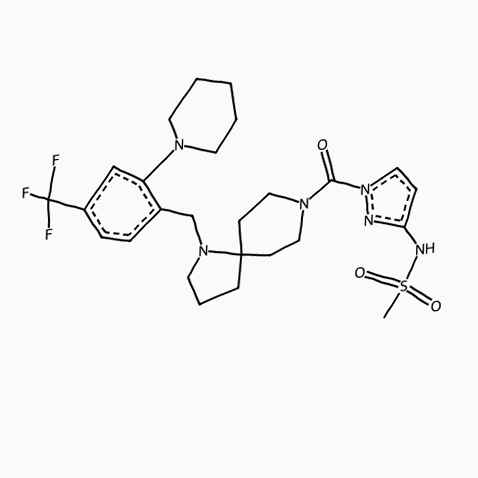 CS(=O)(=O)Nc1ccn(C(=O)N2CCC3(CCCN3Cc3ccc(C(F)(F)F)cc3N3CCCCC3)CC2)n1